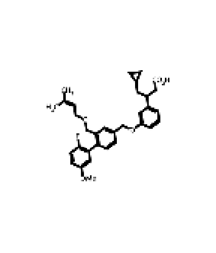 COc1ccc(F)c(-c2ccc(COc3cccc(C(CC(=O)O)CC4CC4)c3)cc2COCC=C(C)C)c1